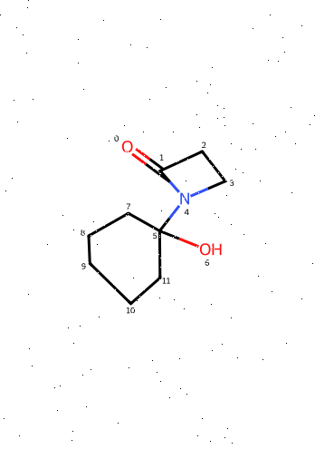 O=C1CCN1C1(O)CCCCC1